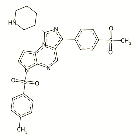 Cc1ccc(S(=O)(=O)n2ccc3c2ncc2c(-c4ccc(S(C)(=O)=O)cc4)nc([C@H]4CCCNC4)n23)cc1